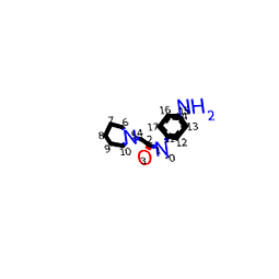 CN(C(=O)CN1CCCCC1)c1ccc(N)cc1